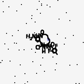 Cc1cc(F)c(C(=O)N[C@H]2C/C=C/CCC(=O)Nc3cc(N)ccc3-c3nc2[nH]c3Cl)c(F)c1